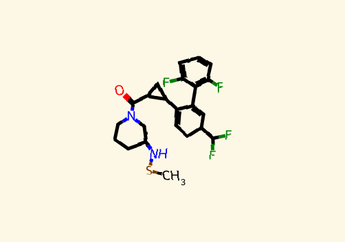 CSNC1CCCN(C(=O)C2CC2C2=CCC(C(F)F)C=C2c2c(F)cccc2F)C1